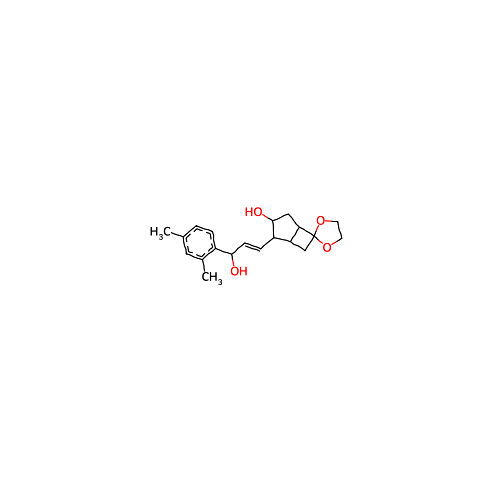 Cc1ccc(C(O)C=CC2C(O)CC3C2CC32OCCO2)c(C)c1